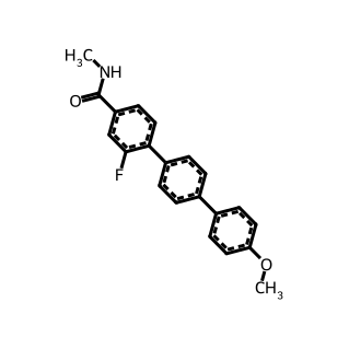 CNC(=O)c1ccc(-c2ccc(-c3ccc(OC)cc3)cc2)c(F)c1